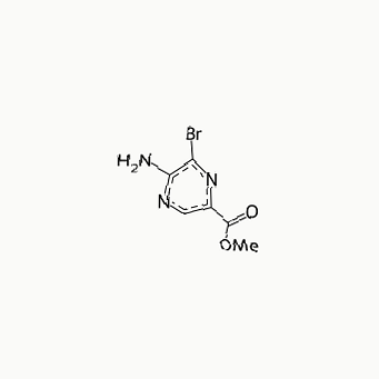 COC(=O)c1cnc(N)c(Br)n1